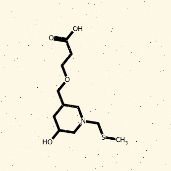 CSCN1CC(O)CC(COCCC(=O)O)C1